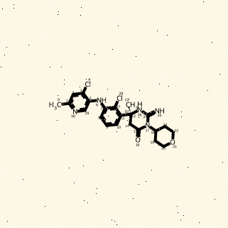 Cc1cc(Cl)c(Nc2cccc([C@]3(C)CC(=O)N(C4CCOCC4)C(=N)N3)c2Cl)cn1